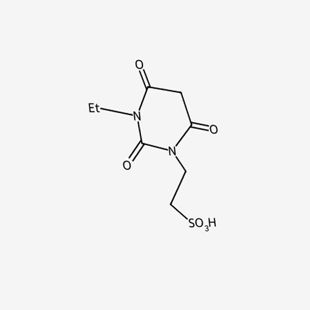 CCN1C(=O)CC(=O)N(CCS(=O)(=O)O)C1=O